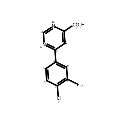 O=C(O)c1cc(-c2ccc(Cl)c(F)c2)ncn1